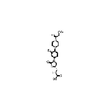 CCC(C)C(=S)NC[C@H]1CN(c2ccc(N3CCN(C(=O)COC(C)=O)CC3)c(F)c2)C(=O)O1